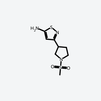 CS(=O)(=O)N1CCC(c2cc(N)sn2)C1